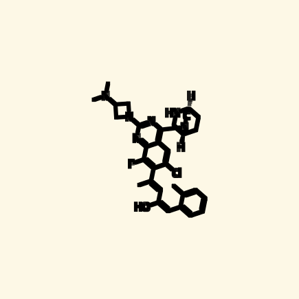 C/C(=C\C(O)=C/c1ccccc1C)c1c(Cl)cc2c(N3C[C@@H]4CC[C@@H]3CN4)nc(N3CC(N(C)C)C3)nc2c1F